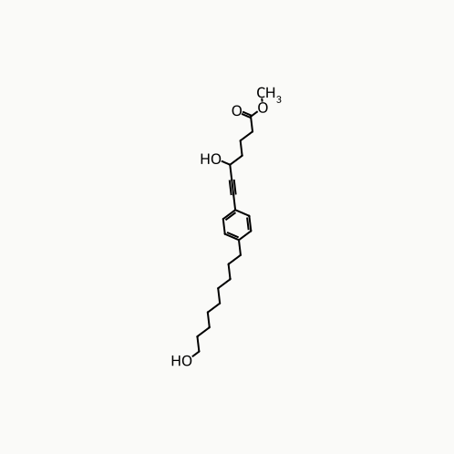 COC(=O)CCCC(O)C#Cc1ccc(CCCCCCCCCO)cc1